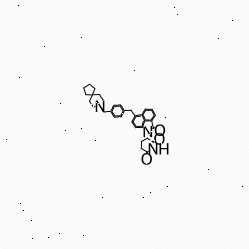 O=C1CCC(N2C(=O)c3cccc4c(Cc5ccc(CN6CCC7(CCCC7)CC6)cc5)ccc2c34)C(=O)N1